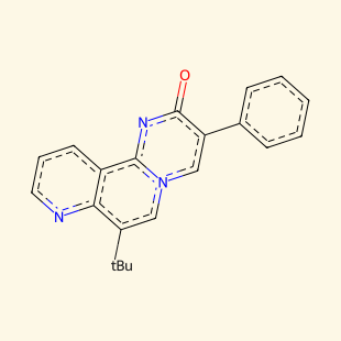 CC(C)(C)c1cn2cc(-c3ccccc3)c(=O)nc2c2cccnc12